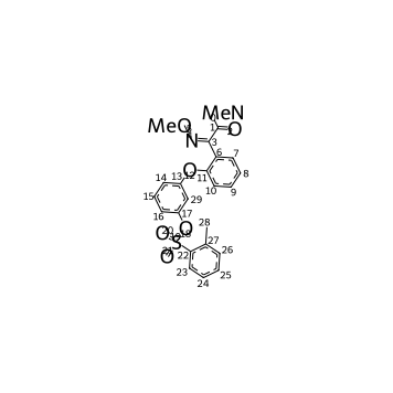 CNC(=O)C(=NOC)c1ccccc1Oc1cccc(OS(=O)(=O)c2ccccc2C)c1